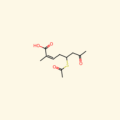 CC(=O)CC(CC=C(C)C(=O)O)SC(C)=O